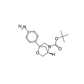 CC(C)(C)OC(=O)N1CC2(c3ccc(N)cc3)C[C@H]1CO2